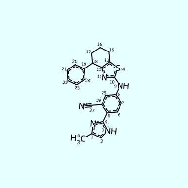 Cc1c[nH]c(-c2ccc(Nc3nc4c(s3)CCCC4c3ccccc3)cc2C#N)n1